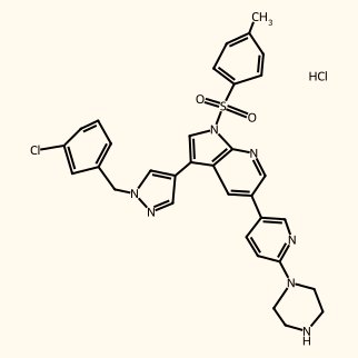 Cc1ccc(S(=O)(=O)n2cc(-c3cnn(Cc4cccc(Cl)c4)c3)c3cc(-c4ccc(N5CCNCC5)nc4)cnc32)cc1.Cl